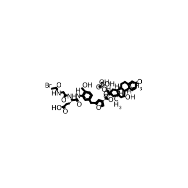 C[C@]12C=CC(=O)C=C1CC[C@@H]1[C@@H]2[C@@H](O)C[C@@]2(C)[C@H]1C[C@H]1O[C@@H](c3coc(Cc4ccc(CO)c(NC(=O)[C@H](CCC(=O)O)NC(=O)CNC(=O)CBr)c4)c3)O[C@]12C(=O)COP(=O)(O)O